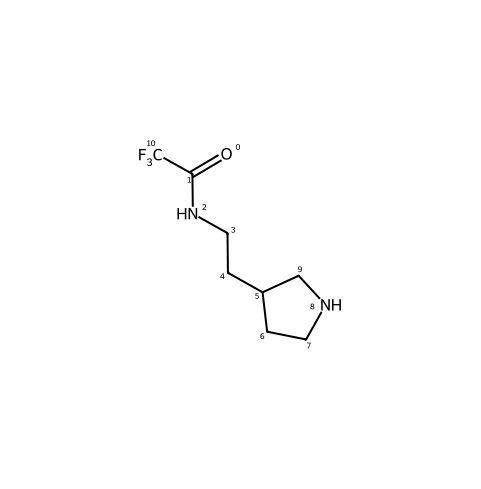 O=C(NCCC1CCNC1)C(F)(F)F